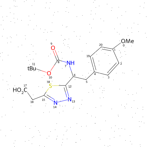 COc1ccc(CC(NC(=O)OC(C)(C)C)c2nnc(CC(=O)O)s2)cc1